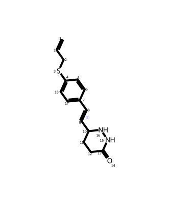 C=CCSc1ccc(/C=C/C2CCC(=O)NN2)cc1